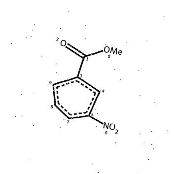 COC(=O)c1[c]c([N+](=O)[O-])ccc1